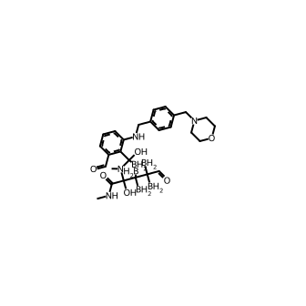 BC(O)(c1c(C=O)cccc1NCc1ccc(CN2CCOCC2)cc1)N(C)C(O)(C(=O)NC)C(B)(B)C(B)(B)C=O